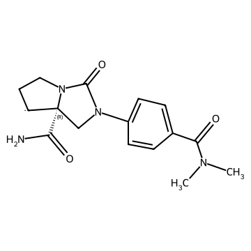 CN(C)C(=O)c1ccc(N2C[C@@]3(C(N)=O)[CH]CCN3C2=O)cc1